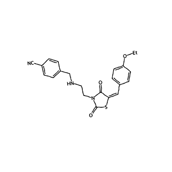 CCOc1ccc(C=C2SC(=O)N(CCNCc3ccc(C#N)cc3)C2=O)cc1